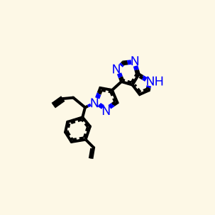 C#CCC(c1cccc(C=C)c1)n1cc(-c2ncnc3[nH]ccc23)cn1